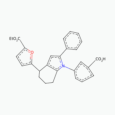 CCOC(=O)c1ccc(C2CCCc3c2cc(-c2ccccc2)n3-c2cccc(C(=O)O)c2)o1